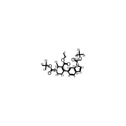 CCOC(=O)C1=C(c2ccc3ccn(C(=O)OC(C)(C)C)c3c2)CCN(C(=O)OC(C)(C)C)C1C